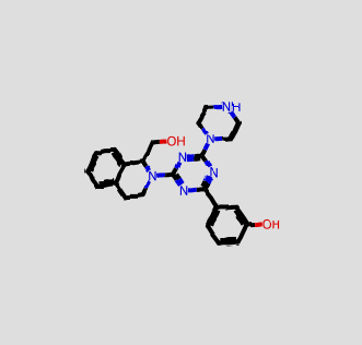 OCC1c2ccccc2CCN1c1nc(-c2cccc(O)c2)nc(N2CCNCC2)n1